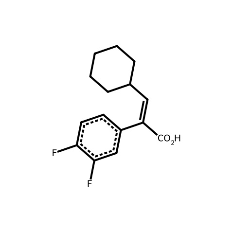 O=C(O)/C(=C/C1CCCCC1)c1ccc(F)c(F)c1